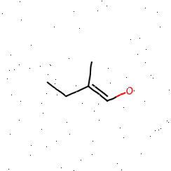 CC/C(C)=C/[O]